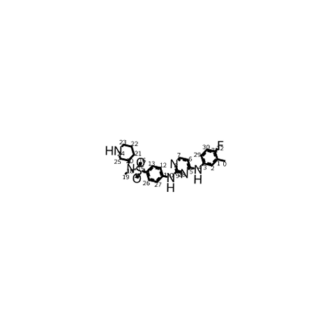 Cc1cc(Nc2ccnc(Nc3ccc(S(=O)(=O)N(C)C4CCCNC4)cc3)n2)ccc1F